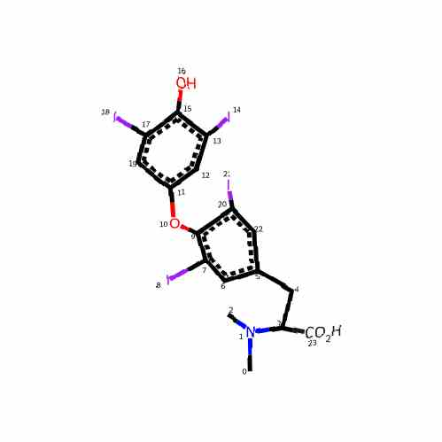 CN(C)C(Cc1cc(I)c(Oc2cc(I)c(O)c(I)c2)c(I)c1)C(=O)O